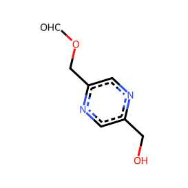 O=COCc1cnc(CO)cn1